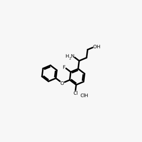 Cl.NC(CCO)c1ccc(Cl)c(Oc2ccccc2)c1F